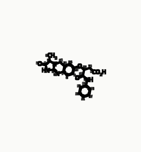 CC1C(=O)NC2=Nc3ccc(OC(CC(=O)O)C(=O)Nc4ccccc4)cc3CN21